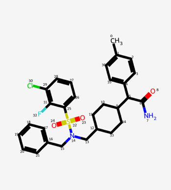 Cc1ccc(C(C(N)=O)C2CCC(CN(Cc3ccccc3)S(=O)(=O)c3cccc(Cl)c3F)CC2)cc1